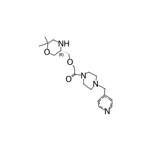 CC1(C)CN[C@H](COCC(=O)N2CCN(Cc3ccncc3)CC2)CO1